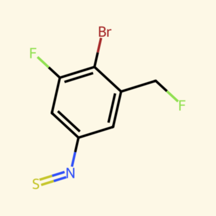 FCc1cc(N=S)cc(F)c1Br